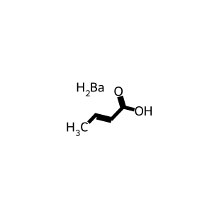 CC=CC(=O)O.[BaH2]